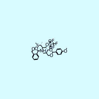 COc1ccc(C2OCC(C)[C@H](C(OS(=O)(=O)C(F)(F)F)C(NC(=O)c3ccccc3C=O)[C@@H](C)SC)O2)cc1